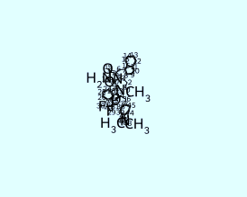 CC1CCN(C(Cc2cccc3ccccc23)C(N)=O)C(=O)C(c2cccc(C(F)(F)F)c2)N1C(=O)Cc1ccc(N(C)C)cc1